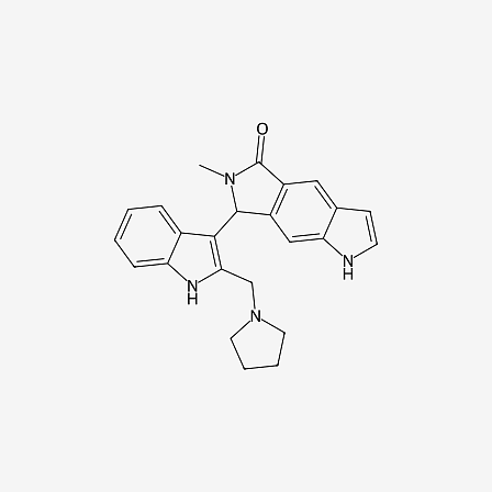 CN1C(=O)c2cc3cc[nH]c3cc2C1c1c(CN2CCCC2)[nH]c2ccccc12